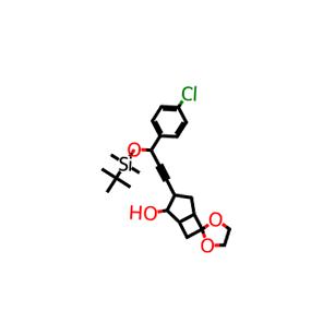 CC(C)(C)[Si](C)(C)OC(C#CC1CC2C(CC23OCCO3)C1O)c1ccc(Cl)cc1